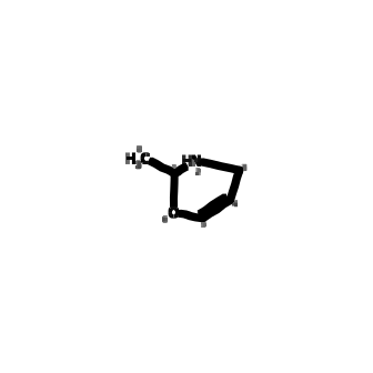 CC1NCC=CO1